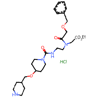 CCOC(=O)CN(CCNC(=O)N1CCC(OCC2CCNCC2)CC1)C(=O)COCc1ccccc1.Cl